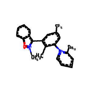 Cc1c(-c2c3ccccc3o[n+]2C)cc(C(F)(F)F)cc1-[n+]1ccccc1C